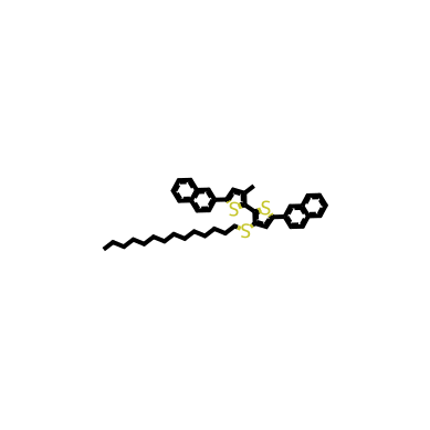 CCCCCCCCCCCCCCSc1cc(-c2ccc3ccccc3c2)sc1-c1sc(-c2ccc3ccccc3c2)cc1C